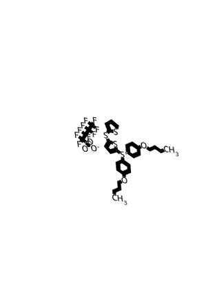 CCCCOc1ccc([S+](c2ccc(OCCCC)cc2)c2ccc(Sc3cccs3)s2)cc1.O=S(=O)([O-])C(F)(F)C(F)(F)C(F)(F)C(F)(F)F